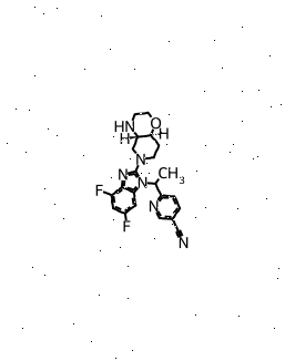 CC(c1ccc(C#N)cn1)n1c(N2CC[C@@H]3OCCN[C@H]3C2)nc2c(F)cc(F)cc21